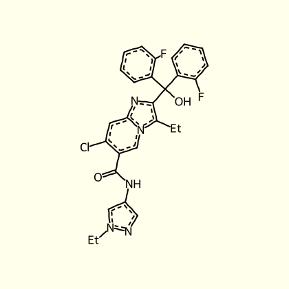 CCc1c(C(O)(c2ccccc2F)c2ccccc2F)nc2cc(Cl)c(C(=O)Nc3cnn(CC)c3)cn12